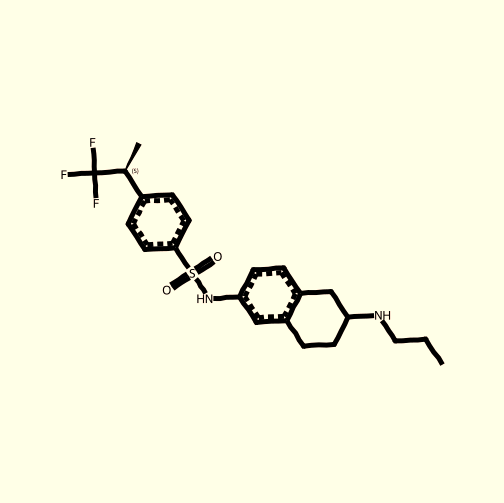 CCCNC1CCc2cc(NS(=O)(=O)c3ccc([C@H](C)C(F)(F)F)cc3)ccc2C1